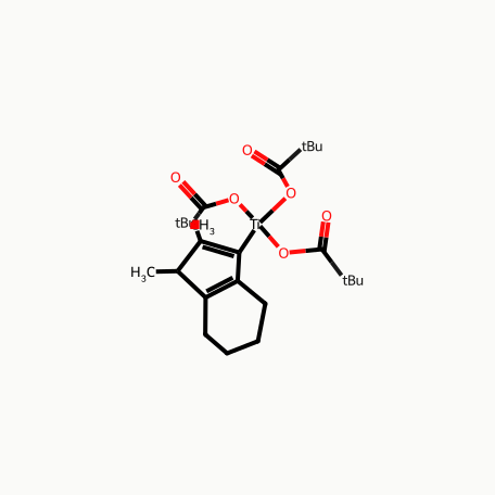 CC1=[C]([Ti]([O]C(=O)C(C)(C)C)([O]C(=O)C(C)(C)C)[O]C(=O)C(C)(C)C)C2=C(CCCC2)C1C